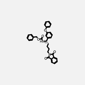 O=C(N[C@@H](CCCCN1C(=O)c2ccccc2C1=O)c1cccc(Oc2ccccc2)c1)OCc1ccccc1